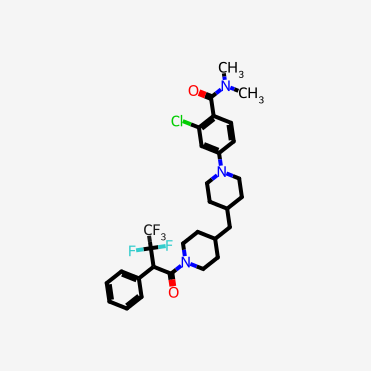 CN(C)C(=O)c1ccc(N2CCC(CC3CCN(C(=O)C(c4ccccc4)C(F)(F)C(F)(F)F)CC3)CC2)cc1Cl